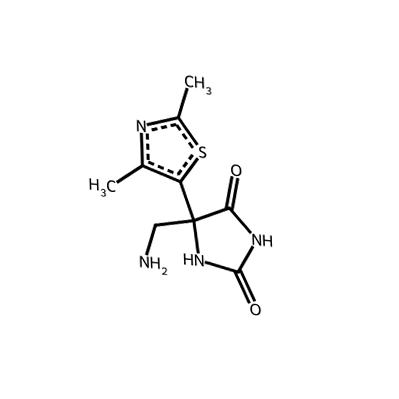 Cc1nc(C)c(C2(CN)NC(=O)NC2=O)s1